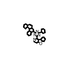 c1ccc(-c2nc(-c3cc4ccc5ccccc5c4c4ccccc34)nc(-c3nccc4oc5ccccc5c34)n2)cc1